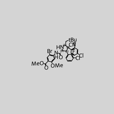 COC(=O)c1cc(Br)c(NC(=O)[C@@H]2N[C@@H](CC(C)(C)C)[C@](C#N)(c3ccc(Cl)cc3F)[C@H]2c2cccc(Cl)c2F)cc1OC